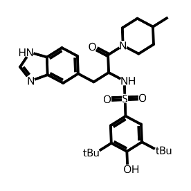 CC1CCN(C(=O)C(Cc2ccc3[nH]cnc3c2)NS(=O)(=O)c2cc(C(C)(C)C)c(O)c(C(C)(C)C)c2)CC1